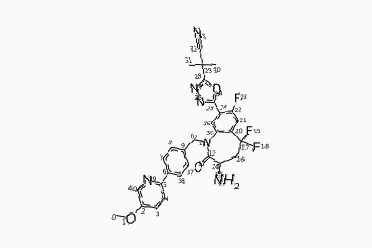 COc1ccc(-c2ccc(CN3C(=O)C(N)CC(F)(F)c4cc(F)c(-c5nnc(C(C)(C)C#N)o5)cc43)cc2)nc1